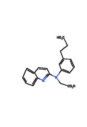 O=C(O)CCc1cccc(N(CC(=O)O)c2ccc3ccccc3n2)c1